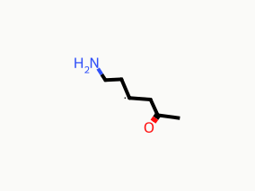 CC(=O)C[CH]CCN